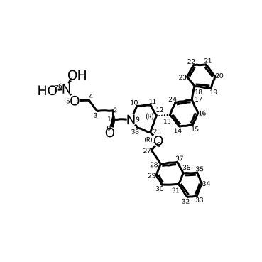 O=C(CCCON(O)O)N1CC[C@H](c2cccc(-c3ccccc3)c2)[C@@H](OCc2ccc3ccccc3c2)C1